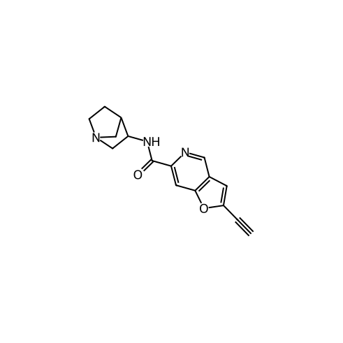 C#Cc1cc2cnc(C(=O)NC3CN4CCC3C4)cc2o1